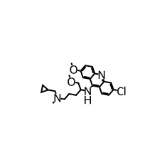 COCC(CCCN(C)CC1CC1)Nc1c2ccc(Cl)cc2nc2ccc(OC)cc12